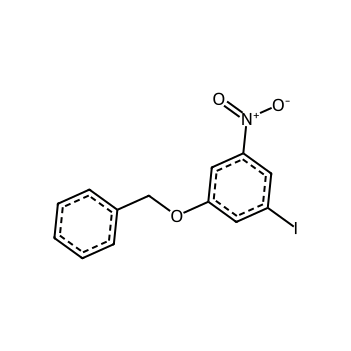 O=[N+]([O-])c1cc(I)cc(OCc2ccccc2)c1